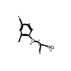 Cc1cc(I)ccc1OCC(C)N=O